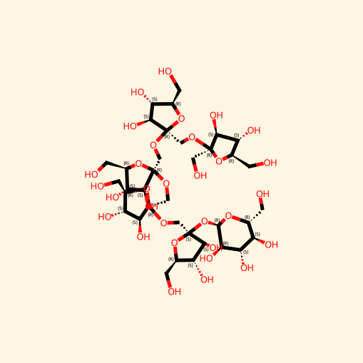 OC[C@H]1O[C@@](CO)(OC[C@@]2(OC[C@@]3(OC[C@@]4(OC[C@@]5(O[C@H]6O[C@H](CO)[C@@H](O)[C@H](O)[C@H]6O)O[C@H](CO)[C@@H](O)[C@@H]5O)O[C@H](CO)[C@@H](O)[C@@H]4O)O[C@H](CO)[C@@H](O)[C@@H]3O)O[C@H](CO)[C@@H](O)[C@@H]2O)[C@@H](O)[C@@H]1O